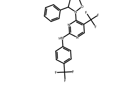 FC(F)(F)c1ccc(Nc2ncc(C(F)(F)F)c(N3OCCC3c3ccccc3)n2)cc1